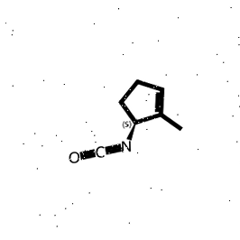 CC1=CCC[C@@H]1N=C=O